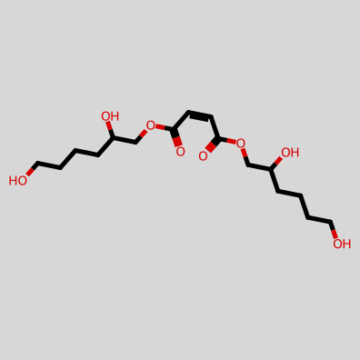 O=C(/C=C\C(=O)OCC(O)CCCCO)OCC(O)CCCCO